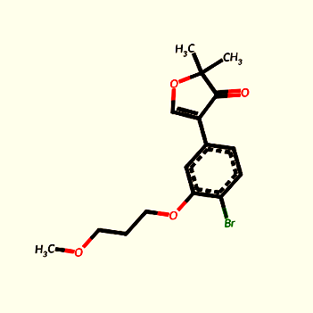 COCCCOc1cc(C2=COC(C)(C)C2=O)ccc1Br